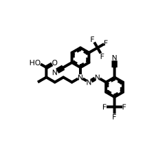 CC(CCCN(N=Nc1cc(C(F)(F)F)ccc1C#N)c1cc(C(F)(F)F)ccc1C#N)C(=O)O